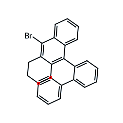 Brc1c2c(c(-c3ccccc3-c3ccccc3)c3ccccc13)C=CCC2